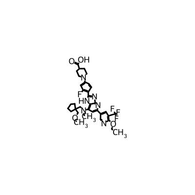 CCOc1ncc(-c2cc(N(C)CC3(COC)CCCC3)c3[nH]c(-c4ccc(N5CCC(C(=O)O)CC5)cc4F)nc3n2)cc1C(F)(F)F